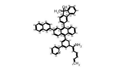 C=C/C=C\C=C(/N)C1C=C(c2ccccn2)C=C(c2c3ccccc3c(-c3ccc4c(c3)-c3ccccc3C4(C)C)c3cc(-c4ccc5ccccc5c4)ccc23)C1